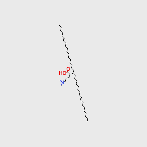 CCCCCC=CCC=CCCCCCCCCC(CCCCCCCCC=CCC=CCCCCC)C(CCCN(C)C)C(=O)O